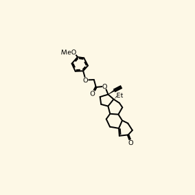 C#C[C@]1(OC(=O)COc2ccc(OC)cc2)CCC2C3CCC4=CC(=O)CCC4C3CC[C@@]21CC